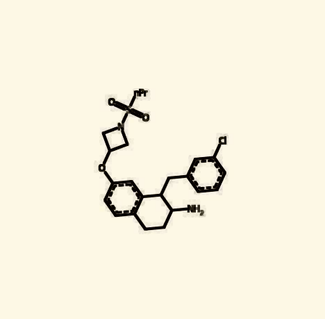 CCCS(=O)(=O)N1CC(Oc2ccc3c(c2)C(Cc2cccc(Cl)c2)C(N)CC3)C1